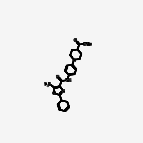 COC(=O)C1CCN(c2ccc(NC(=O)c3nc(C4C=CC=CC4)oc3C(F)(F)F)cc2)CC1